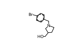 OCC1CCN(Cc2ccc(Br)cc2)C1